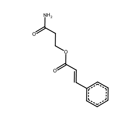 NC(=O)CCOC(=O)/C=C/c1ccccc1